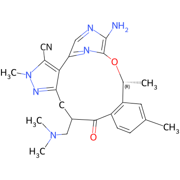 Cc1ccc2c(c1)[C@@H](C)Oc1nc(cnc1N)-c1c(nn(C)c1C#N)CC(CN(C)C)C2=O